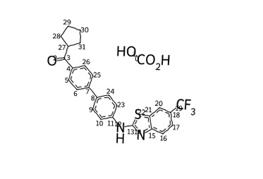 O=C(O)O.O=C(c1ccc(-c2ccc(Nc3nc4ccc(C(F)(F)F)cc4s3)cc2)cc1)C1CCCC1